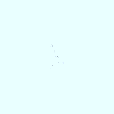 [Co].[Cu].[MgH2].[Mn].[Ni].[Zn]